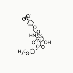 COc1ccc(COC(=O)C2=C(O)CS[C@H]3C(NC(=O)COc4ccc([N+](=O)[O-])cc4)C(=O)N23)cc1